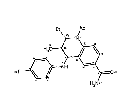 CC[C@H]1[C@H](C)C(Nc2ccc(F)cn2)c2cc(C(N)=O)ccc2N1C(C)=O